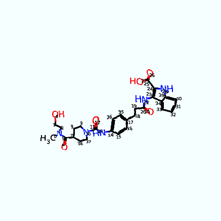 CN(CCO)C(=O)C1CCN(C(=O)Nc2ccc(CCC(=O)Nc3c(C(=O)O)[nH]c4ccccc34)cc2)CC1